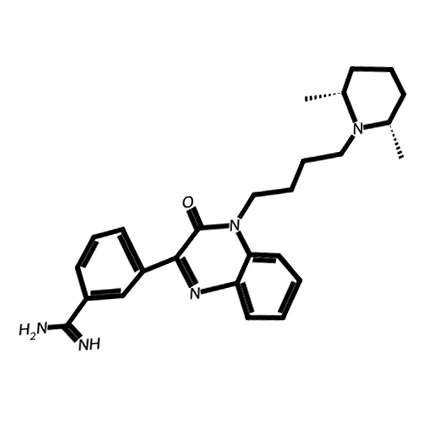 C[C@@H]1CCC[C@H](C)N1CCCCn1c(=O)c(-c2cccc(C(=N)N)c2)nc2ccccc21